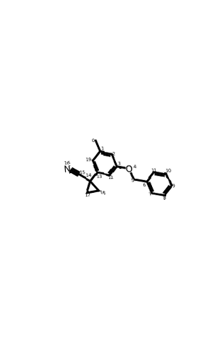 Cc1cc(OCc2ccccc2)cc(C2(C#N)CC2)c1